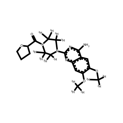 [2H]C([2H])([2H])Oc1cc2nc(N3C([2H])([2H])C([2H])([2H])N(C(=O)C4CCCO4)C([2H])([2H])C3([2H])[2H])nc(N)c2cc1OC([2H])([2H])[2H]